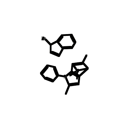 CC1=C2c3c(cc(C)n3-c3ccccc3)C1[Si]2(C)C.[Zr][CH]1C=Cc2ccccc21